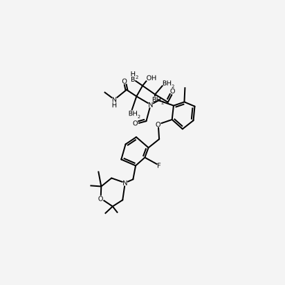 BC(B)(C=O)C(B)(O)C(B)(C(=O)NC)N(C=O)Cc1c(C)cccc1OCc1cccc(CN2CC(C)(C)OC(C)(C)C2)c1F